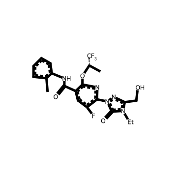 CCn1c(CO)nn(-c2nc(O[C@@H](C)C(F)(F)F)c(C(=O)Nc3ccccc3C)cc2F)c1=O